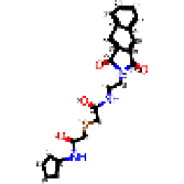 O=C(CSCC(=O)NC1CCCC1)NCCN1C(=O)c2cc3ccccc3cc2C1=O